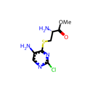 COC(=O)[C@@H](N)CSc1nc(Cl)ncc1N